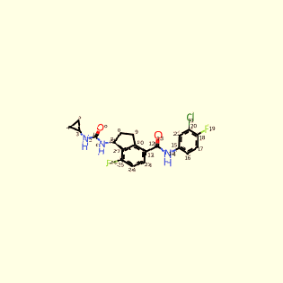 O=C(NC1CC1)N[C@H]1CCc2c(C(=O)Nc3ccc(F)c(Cl)c3)ccc(F)c21